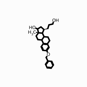 C[C@]12CCC3c4ccc(OCc5ccccc5)cc4CCC3C1[C@H](CCCO)CC2O